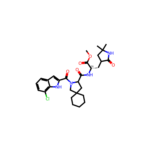 COC(=O)[C@H](CC1CC(C)(C)NC1=O)NC(=O)C1CC2(CCCCC2)CN1C(=O)c1cc2cccc(Cl)c2[nH]1